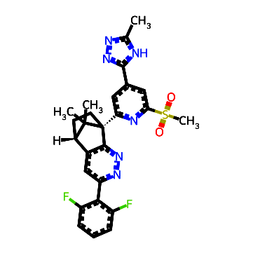 Cc1nnc(-c2cc([C@]34CC[C@@H](c5cc(-c6c(F)cccc6F)nnc53)C4(C)C)nc(S(C)(=O)=O)c2)[nH]1